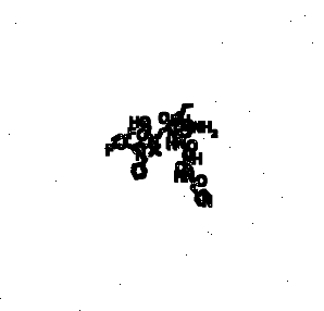 CCCCNC(=O)C(CCN(C(=O)CO)C(c1cc(-c2cc(F)ccc2F)cn1Cc1ccccc1)C(C)(C)C)NC(=O)C(CC(N)=O)NC(=O)CNC(=O)CNC(=O)Cc1ccncc1